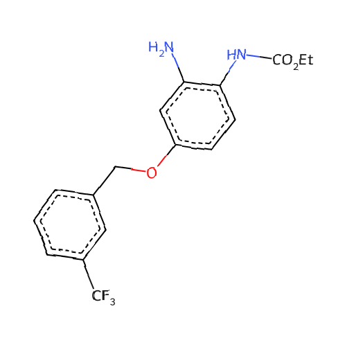 CCOC(=O)Nc1ccc(OCc2cccc(C(F)(F)F)c2)cc1N